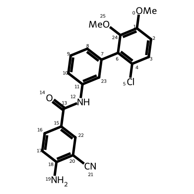 COc1ccc(Cl)c(-c2cccc(NC(=O)c3ccc(N)c(C#N)c3)c2)c1OC